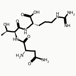 C[C@@H](O)[C@H](NC(=O)[C@@H](N)CC(N)=O)C(=O)N[C@@H](CCCNC(=N)N)C(=O)O